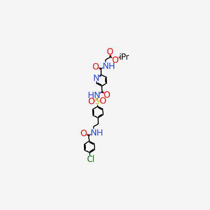 CC(C)OC(=O)CNC(=O)c1ccc(C(=O)NS(=O)(=O)c2ccc(CCNC(=O)c3ccc(Cl)cc3)cc2)cn1